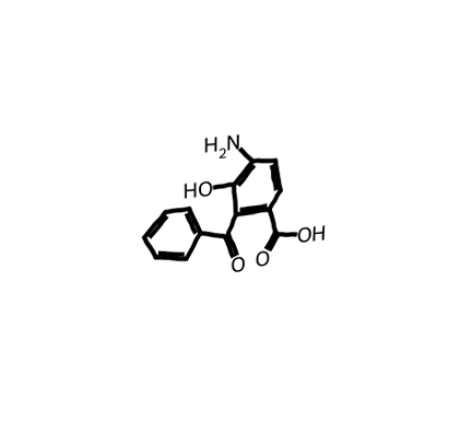 Nc1ccc(C(=O)O)c(C(=O)c2ccccc2)c1O